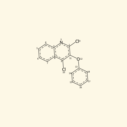 Clc1nc2ccccc2c(Cl)c1Oc1ccccc1